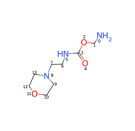 NCOC(=O)NCCN1CCOCC1